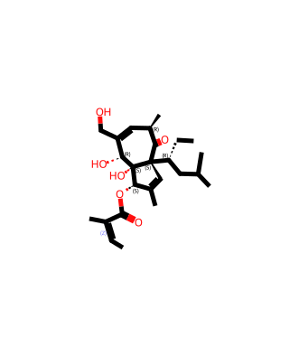 C/C=C(/C)C(=O)O[C@H]1C(C)=C[C@]2([C@H](CC)CC(C)C)C(=O)[C@H](C)C=C(CO)[C@@H](O)[C@]12O